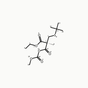 CCOC(=O)[C@@](C)(CSC(C)(C)C)C(=O)OC(=O)OC